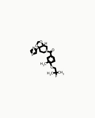 Cc1cc(C(=O)N2CC[C@]3(c4cscn4)OCO[C@@H]3C2)ccc1OCC(C)(C)F